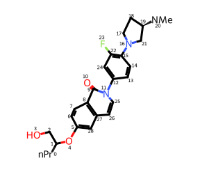 CCCC(CO)Oc1ccc2c(=O)n(-c3ccc(N4CC[C@@H](NC)C4)c(F)c3)ccc2c1